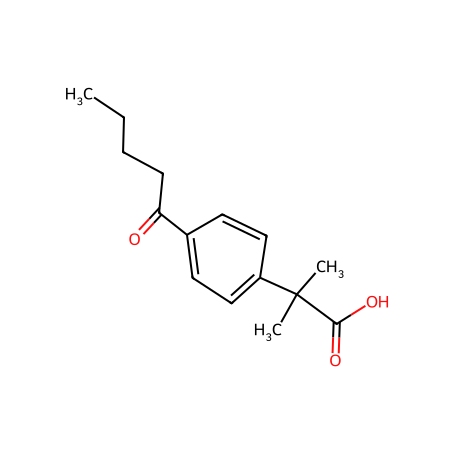 CCCCC(=O)c1ccc(C(C)(C)C(=O)O)cc1